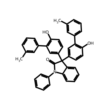 Cc1cccc(-c2cc(C3(c4ccc(O)c(-c5cccc(C)c5)c4)C(=O)N(c4ccccc4)c4ccccc43)ccc2O)c1